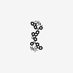 CC1(C)c2ccccc2-c2ccc(N(c3ccccc3)c3ccc4c(c3)Oc3cccc5c3c-4cc3ccc(N(c4ccccc4)c4ccc6c(c4)C(C)(C)c4ccccc4-6)cc35)cc21